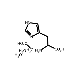 CC(=O)O.NC(Cc1c[nH]cn1)C(=O)O.O.O